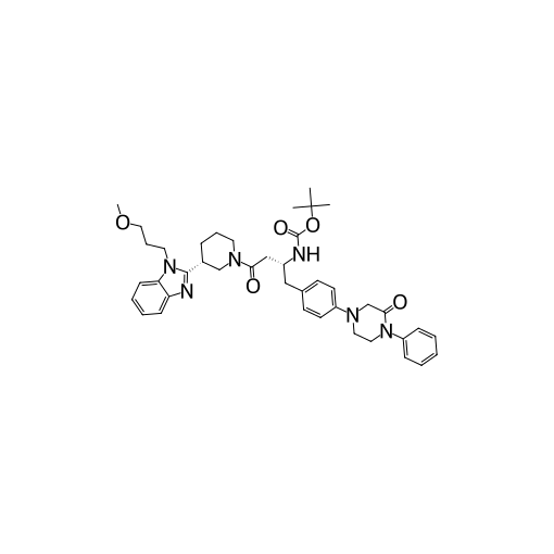 COCCCn1c([C@@H]2CCCN(C(=O)C[C@@H](Cc3ccc(N4CCN(c5ccccc5)C(=O)C4)cc3)NC(=O)OC(C)(C)C)C2)nc2ccccc21